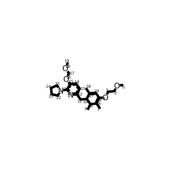 COCCOC1=C(C)C(C)C(Cc2ccc(OCOC)c(N3CCCC3)n2)C(C)=C1